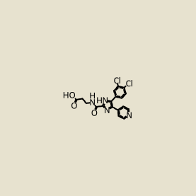 O=C(O)CCNC(=O)c1nc(-c2ccncc2)c(-c2ccc(Cl)c(Cl)c2)[nH]1